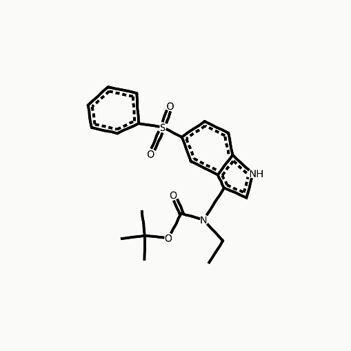 CCN(C(=O)OC(C)(C)C)c1c[nH]c2ccc(S(=O)(=O)c3ccccc3)cc12